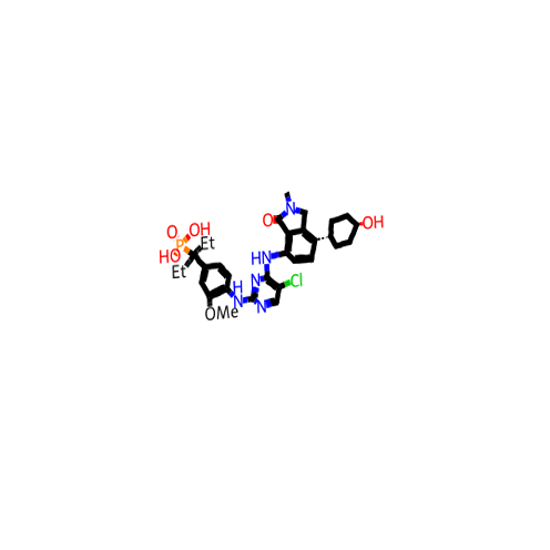 CCC(CC)(c1ccc(Nc2ncc(Cl)c(Nc3ccc([C@H]4CC[C@H](O)CC4)c4c3C(=O)N(C)C4)n2)c(OC)c1)P(=O)(O)O